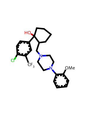 COc1ccccc1N1CCN(CC2CCCCC2(O)c2ccc(Cl)c(C(F)(F)F)c2)CC1